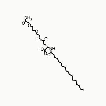 CCCCCCCCCCCCCCCCCC(=O)N[C@@H](CCC(=O)NCCOCCOCC(N)=O)C(=O)O